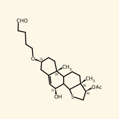 CC(=O)O[C@H]1CSC2C3C(CC[C@@]21C)[C@@]1(C)CC[C@H](OCCCCC=O)CC1=C[C@@H]3O